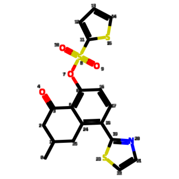 CC1CC(=O)c2c(OS(=O)(=O)c3cccs3)ccc(-c3nccs3)c2C1